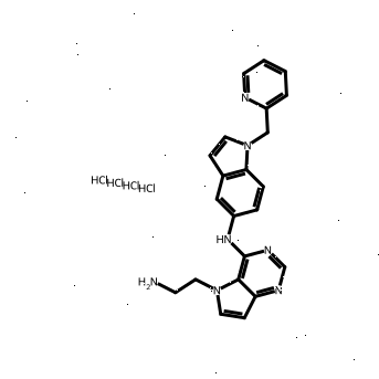 Cl.Cl.Cl.Cl.NCCn1ccc2ncnc(Nc3ccc4c(ccn4Cc4ccccn4)c3)c21